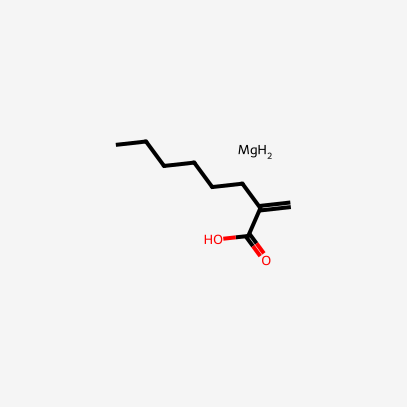 C=C(CCCCCC)C(=O)O.[MgH2]